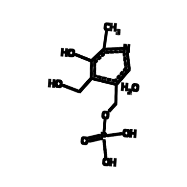 Cc1ncc(COP(=O)(O)O)c(CO)c1O.O